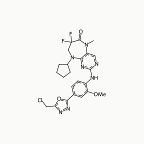 COc1cc(-c2nnc(CCl)o2)ccc1Nc1ncc2c(n1)N(C1CCCC1)CC(F)(F)C(=O)N2C